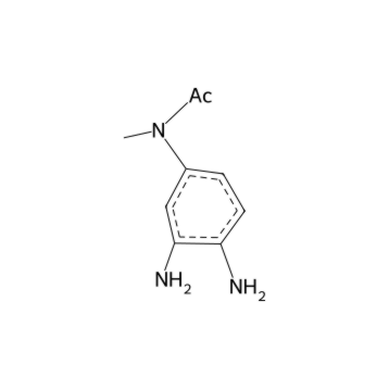 CC(=O)N(C)c1ccc(N)c(N)c1